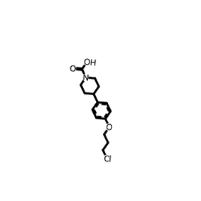 O=C(O)N1CCC(c2ccc(OCCCCl)cc2)CC1